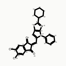 O=C1C(=Cc2cc3sc(C4CCCCC4)nc3n2-c2ccccc2)C(=O)c2cc(Cl)c(Cl)cc21